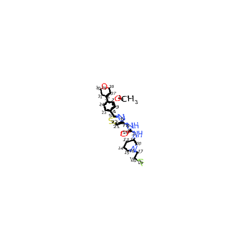 COc1cc(-c2nc(NC(=O)NC3CCCN(CCF)C3)cs2)ccc1C1=CCOCC1